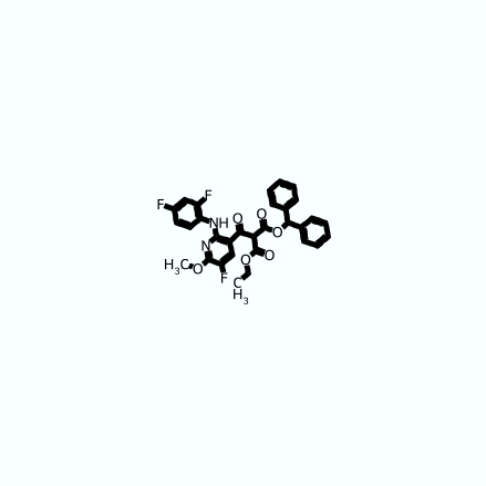 CCOC(=O)C(C(=O)OC(c1ccccc1)c1ccccc1)C(=O)c1cc(F)c(OC)nc1Nc1ccc(F)cc1F